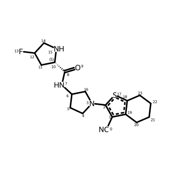 N#Cc1c(N2CCC(NC(=O)[C@@H]3CC(F)CN3)C2)sc2c1CCCC2